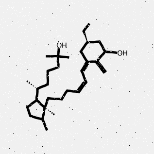 C=C1/C(=C\C=C/CCC[C@@]2(C)C(C)CCC2[C@H](C)CCCC(C)(C)O)C[C@@H](CC)CC1O